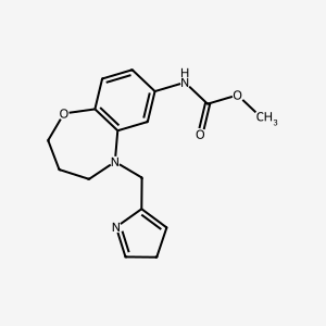 COC(=O)Nc1ccc2c(c1)N(CC1=CCC=N1)CCCO2